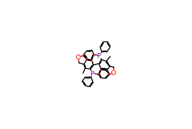 Cc1c2c(c(C)c(P(c3ccccc3)c3ccccc3)c1-c1c(C)c3c(c(C)c1P(c1ccccc1)c1ccccc1)COC3)COC2